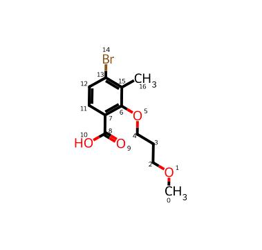 COCCCOc1c(C(=O)O)ccc(Br)c1C